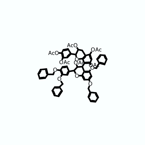 CC(=O)Oc1ccc(C2Oc3c(c(OC(C)=O)cc(OC(C)=O)c3C3c4c(OCc5ccccc5)cc(OCc5ccccc5)cc4OC(c4ccc(OCc5ccccc5)c(OCc5ccccc5)c4)C3OC(C)=O)CC2OC(C)=O)cc1OC(C)=O